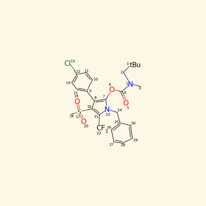 CN(CC(C)(C)C)C(=O)Oc1c(-c2ccc(Cl)cc2)c(S(C)(=O)=O)c(C(F)(F)F)n1Cc1ccccc1